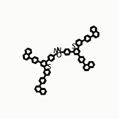 c1ccc2c(-c3ccc(-c4ccc5sc6c(-c7ccc(-c8nnc(-c9ccc(-c%10cc(-c%11ccc(-c%12cccc%13ccccc%12%13)cc%11)cc%11c%10sc%10ccc(-c%12ccc(-c%13cccc%14ccccc%13%14)cc%12)cc%10%11)cc9)o8)cc7)cc(-c7ccc(-c8cccc9ccccc89)cc7)cc6c5c4)cc3)cccc2c1